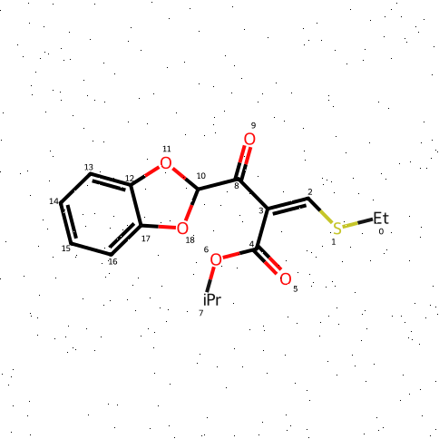 CCSC=C(C(=O)OC(C)C)C(=O)C1Oc2ccccc2O1